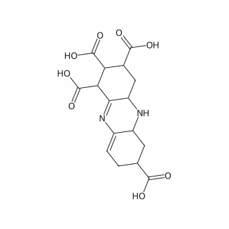 O=C(O)C1CC=C2N=C3C(CC(C(=O)O)C(C(=O)O)C3C(=O)O)NC2C1